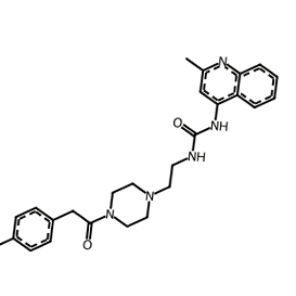 Cc1cc(NC(=O)NCCN2CCN(C(=O)Cc3ccc(Br)cc3)CC2)c2ccccc2n1